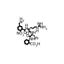 CC(C)C[C@H](NC(=O)[C@H](CCCNC(=N)N)NC(=O)c1cc(CN)ccc1[N+](=O)[O-])C(=O)Nc1ccccc1C(=O)O